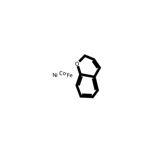 C1=Cc2ccccc2OC1.[Co].[Fe].[Ni]